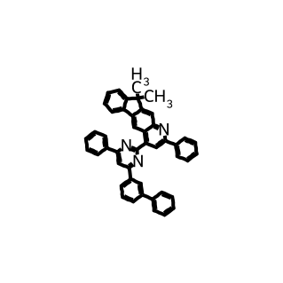 CC1(C)c2ccccc2-c2cc3c(-c4nc(-c5ccccc5)cc(-c5cccc(-c6ccccc6)c5)n4)cc(-c4ccccc4)nc3cc21